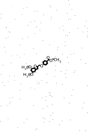 CCOC(=O)c1ccc(OCc2cc3cc(OC)cc(OC)c3o2)cc1